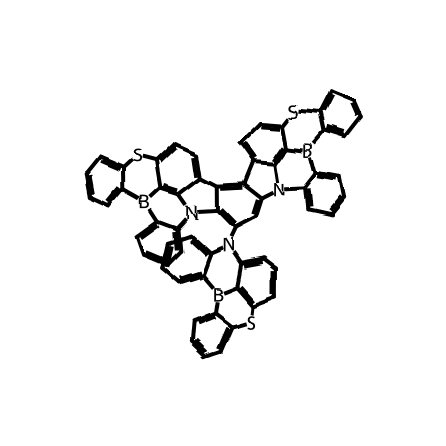 c1ccc2c(c1)Sc1cccc3c1B2c1ccccc1N3c1cc2c(c3ccc4c5c3n2-c2ccccc2B5c2ccccc2S4)c2c3ccc4c5c3n(c12)-c1ccccc1B5c1ccccc1S4